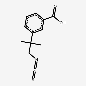 CC(C)(CN=C=S)c1cccc(C(=O)O)c1